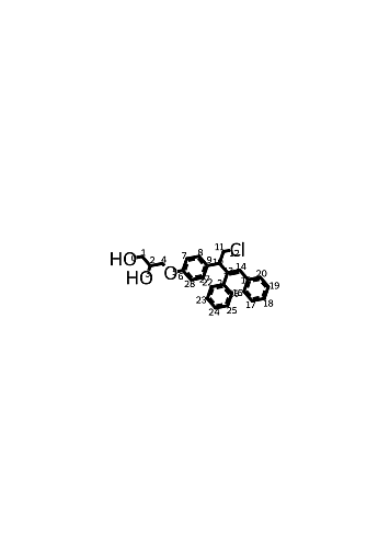 OCC(O)COc1ccc(C(CCl)C(=Cc2ccccc2)c2ccccc2)cc1